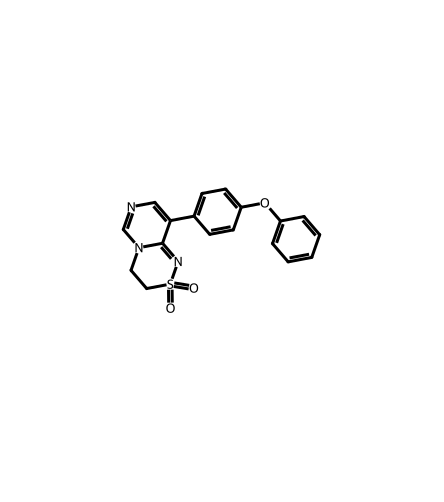 O=S1(=O)CCN2C=NC=C(c3ccc(Oc4ccccc4)cc3)C2=N1